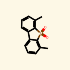 Cc1cccc2c1S(=O)(=O)c1c(C)cccc1-2